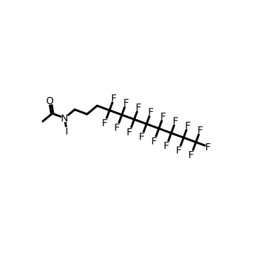 CC(=O)N(I)CCCC(F)(F)C(F)(F)C(F)(F)C(F)(F)C(F)(F)C(F)(F)C(F)(F)C(F)(F)F